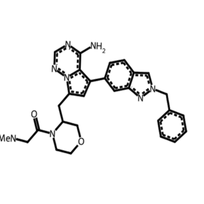 CNCC(=O)N1CCOCC1Cc1cc(-c2ccc3cn(Cc4ccccc4)nc3c2)c2c(N)ncnn12